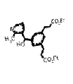 CCOC(=O)CCc1cc(CCC(=O)OCC)cc(C(O)c2cccnc2C)c1